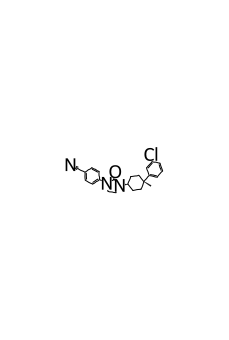 C[C@]1(c2cccc(Cl)c2)CC[C@H](N2CCN(c3ccc(C#N)cc3)C2=O)CC1